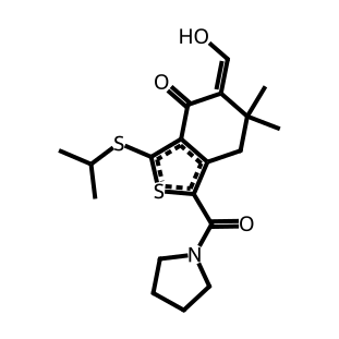 CC(C)Sc1sc(C(=O)N2CCCC2)c2c1C(=O)C(=CO)C(C)(C)C2